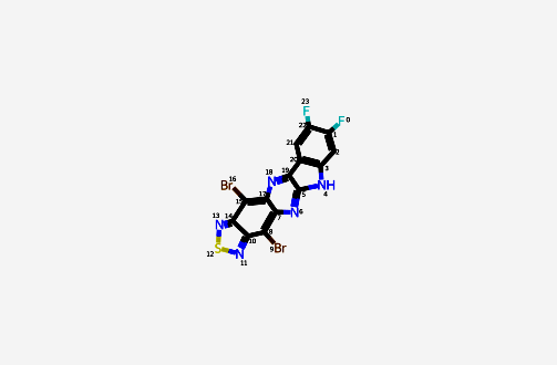 Fc1cc2[nH]c3nc4c(Br)c5nsnc5c(Br)c4nc3c2cc1F